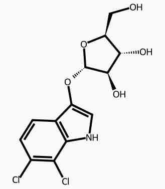 OC[C@@H]1O[C@@H](Oc2c[nH]c3c(Cl)c(Cl)ccc23)[C@H](O)[C@H]1O